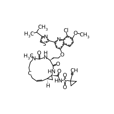 C#CC1(S(=O)(=O)NC(=O)[C@@]23C[C@H]2C=CCCCCN(C)C(=O)N[C@@H](CCOc2cc(-c4nc(C(C)C)cs4)nc4c(Cl)c(OC)ccc24)C(=O)N3)CC1